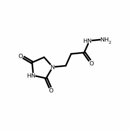 NNC(=O)CCN1CC(=O)NC1=O